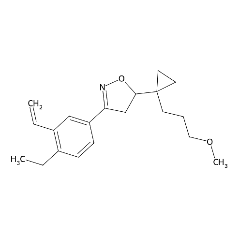 C=Cc1cc(C2=NOC(C3(CCCOC)CC3)C2)ccc1CC